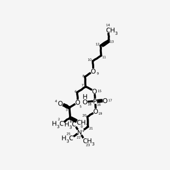 C=C(C)C(=O)OCC(COCC/C=C/C)OP(=O)(O)OCC[N+](C)(C)C